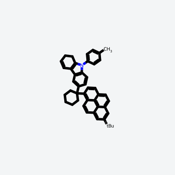 Cc1ccc(-n2c3c(c4cc(C5(c6ccc7ccc8cc(C(C)(C)C)cc9ccc6c7c89)CCCCC5)ccc42)C=CCC3)cc1